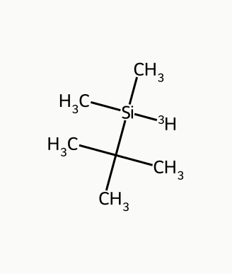 [3H][Si](C)(C)C(C)(C)C